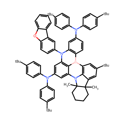 CC(C)(C)c1ccc(N(c2ccc(C(C)(C)C)cc2)c2ccc3c(c2)N(c2ccc4oc5ccccc5c4c2)c2cc(N(c4ccc(C(C)(C)C)cc4)c4ccc(C(C)(C)C)cc4)cc4c2B3c2cc(C(C)(C)C)cc3c2N4C2(C)CCCCC32C)cc1